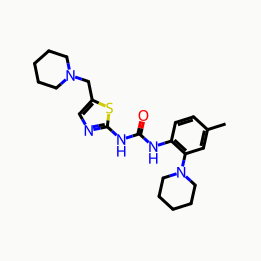 Cc1ccc(NC(=O)Nc2ncc(CN3CCCCC3)s2)c(N2CCCCC2)c1